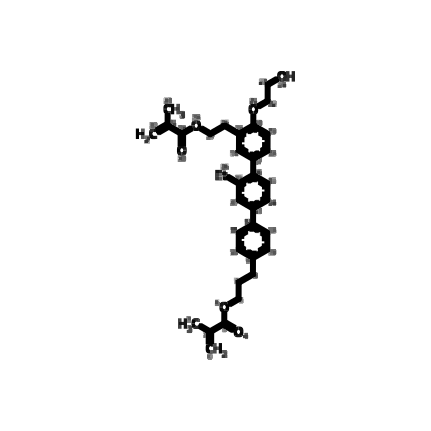 C=C(C)C(=O)OCCCc1ccc(-c2ccc(-c3ccc(OCCO)c(CCOC(=O)C(=C)C)c3)c(CC)c2)cc1